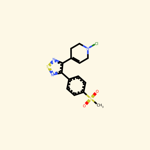 CS(=O)(=O)c1ccc(-c2nsnc2C2=CCN(Cl)CC2)cc1